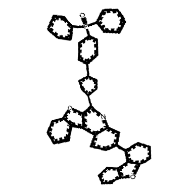 O=P(c1ccccc1)(c1ccccc1)c1ccc(-c2ccc(-c3nc4cc(-c5cccc6oc7ccccc7c56)ccc4c4c3oc3ccccc34)cc2)cc1